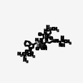 CNC(=N)NCCC[C@H](NC(=O)[C@H](CC(C)C)NC(=O)CN)C(=O)N[C@@H](Cc1cn(C(=O)OC(C)(C)C)c2ccccc12)C(=O)O